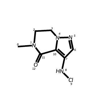 CN1CCn2ncc(NCl)c2C1=O